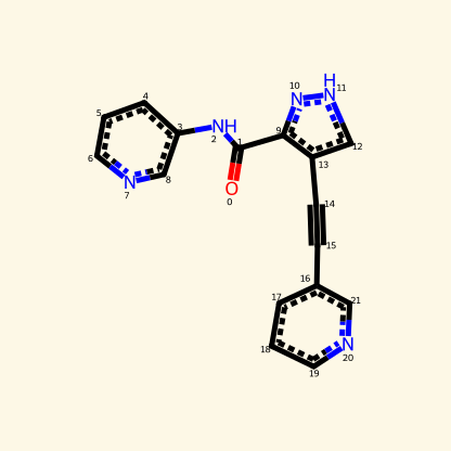 O=C(Nc1cccnc1)c1n[nH]cc1C#Cc1cccnc1